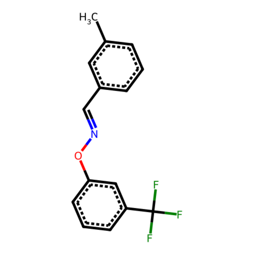 Cc1cccc(/C=N/Oc2cccc(C(F)(F)F)c2)c1